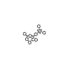 c1ccc(-c2nc(-c3ccccc3)nc(-c3ccc(-n4c5ccc6c7c8c(cccc8n6-c6ccccc6)c6ccccc6c6cc8ccccc8c4c6c75)cc3)n2)cc1